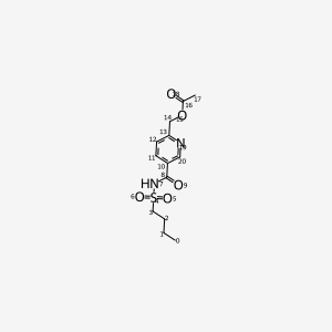 CCCCS(=O)(=O)NC(=O)c1ccc(COC(C)=O)nc1